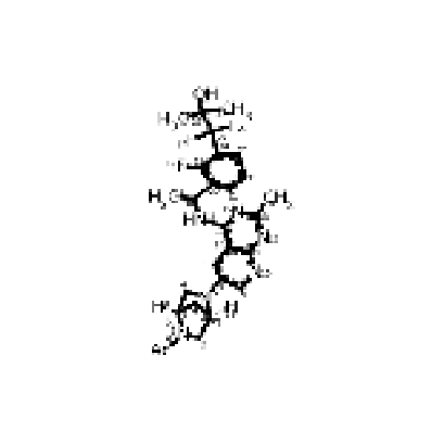 CC(=O)N1C[C@H]2C[C@@H]1CN2c1cnc2nc(C)nc(NC(C)c3cccc(C(F)(F)C(C)(C)O)c3F)c2c1